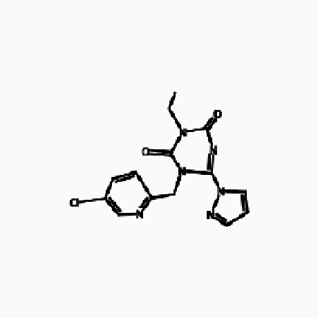 CCn1c(=O)nc(-n2cccn2)n(Cc2ccc(Cl)cn2)c1=O